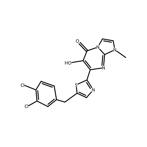 Cn1ccn2c(=O)c(O)c(-c3ncc(Cc4ccc(Cl)c(Cl)c4)s3)nc12